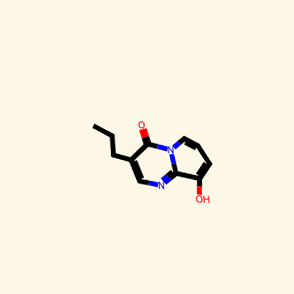 CCCc1cnc2c(O)cccn2c1=O